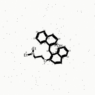 CCN(CC)CCOc1ccc2ccccc2c1Cc1c(O)ccc2ccccc12